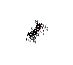 CC1(C)C(=O)C(C#N)=C[C@]2(C)C3=CC(=O)[C@@H]4C5CC6(CC6)CC[C@]5(NS(C)(=O)=NC#N)CC[C@@]4(C)[C@]3(C)CC[C@@H]12